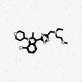 CCN(CCOC)Cc1nc(-c2c(C)n(C3CCOCC3)c3c(Cl)cccc23)ns1